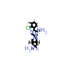 Cc1cccc(-c2ncc(N3C[C@@H]4CC(C)(N)C[C@@H]4C3)nc2N)c1Cl